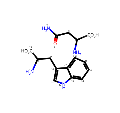 NC(=O)CC(N)C(=O)O.NC(Cc1c[nH]c2ccccc12)C(=O)O